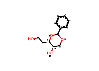 OCC[C@H]1OC(c2ccccc2)OC[C@H]1O